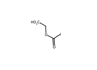 O=C(O)COC(=O)I